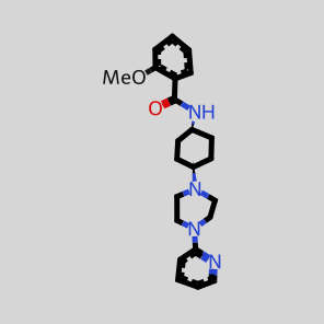 COc1ccccc1C(=O)N[C@H]1CC[C@H](N2CCN(c3ccccn3)CC2)CC1